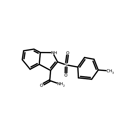 Cc1ccc(S(=O)(=O)c2[nH]c3ccccc3c2C(N)=O)cc1